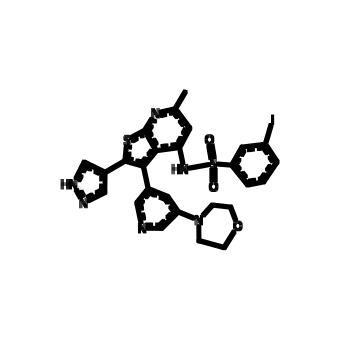 Cc1cc(NS(=O)(=O)c2cccc(I)c2)c2c(-c3cncc(N4CCOCC4)c3)c(-c3cn[nH]c3)sc2n1